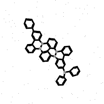 c1ccc(-c2ccc3c(c2)-c2ccccc2N2B3c3cccc4c3-c3c2cccc3N2B4c3ccccc3-c3cc(N(c4ccccc4)c4ccccc4)ccc32)cc1